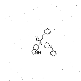 O=C(/C=C/c1ccccc1)N(c1ccc2c(c1)NCC2)C1CCN(Cc2ccccc2)CC1